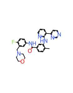 Cc1ccc(C(=O)Nc2ccc(F)c(CN3CCOCC3)c2)cc1Nc1ncccc1-c1ccncn1